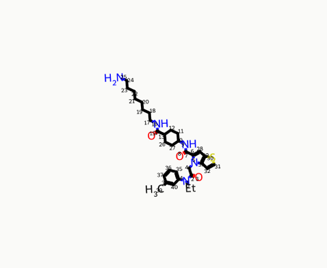 CCN(C(=O)Cn1c(C(=O)NC2CCC(C(=O)NCCCCCCCCN)CC2)cc2sccc21)c1cccc(C)c1